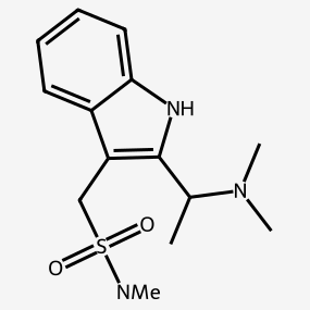 CNS(=O)(=O)Cc1c(C(C)N(C)C)[nH]c2ccccc12